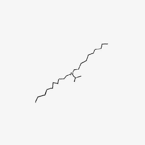 CCCCCCCCCCN(CCCCCCCCCC)C(C)C